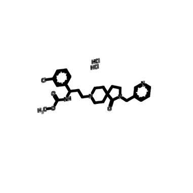 COC(=O)NC(CCN1CCC2(CC1)CCN(Cc1cccnc1)C2=O)c1cccc(Cl)c1.Cl.Cl